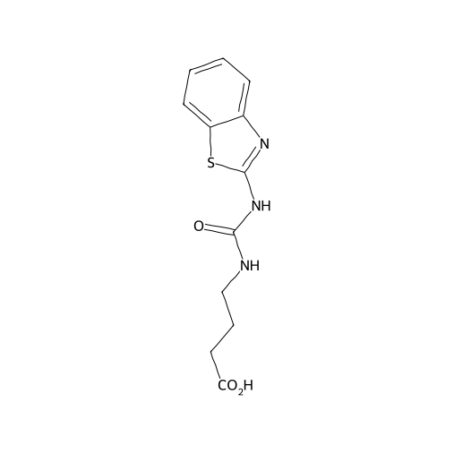 O=C(O)CCCNC(=O)Nc1nc2ccccc2s1